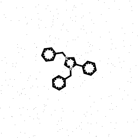 c1ccc(Cn2cc(-c3ccccc3)[n+](Cc3ccccc3)c2)cc1